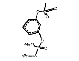 CCCSP(=O)(OC)Oc1cccc(OS(C)(=O)=O)c1